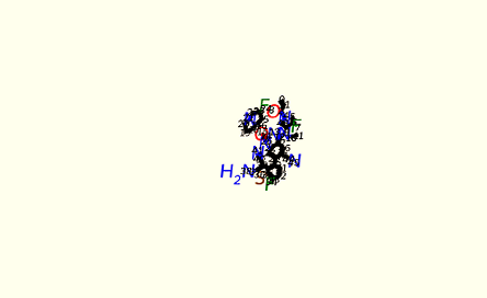 C=CC(=O)N1C[C@@H](F)[C@@H](N(CC)c2nc(OC[C@@]34CCCN3C[C@H](F)C4)nc3cc(-c4ccc(F)c5sc(N)c(C#N)c45)c(C#N)cc23)C1